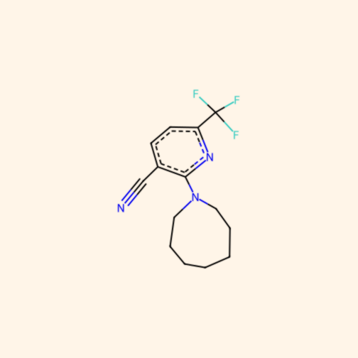 N#Cc1ccc(C(F)(F)F)nc1N1CCCCCCC1